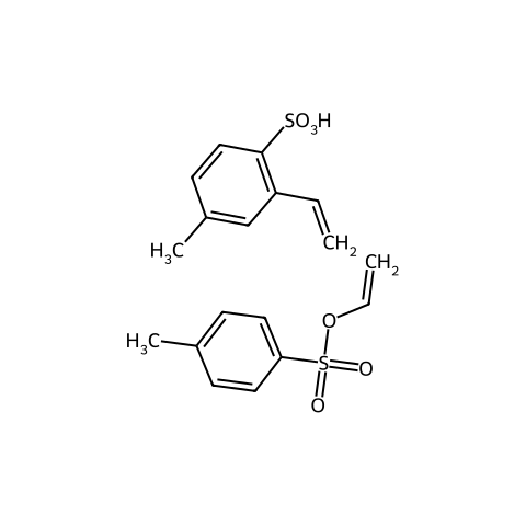 C=COS(=O)(=O)c1ccc(C)cc1.C=Cc1cc(C)ccc1S(=O)(=O)O